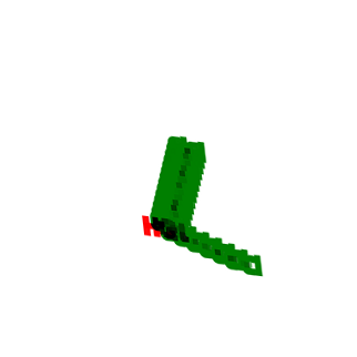 CCO.ClCCl.ClCCl.ClCCl.ClCCl.ClCCl.ClCCl.ClCCl.ClCCl.ClCCl.ClCCl.ClCCl.ClCCl.ClCCl.ClCCl.ClCCl.ClCCl.ClCCl.ClCCl.ClCCl.ClCCl